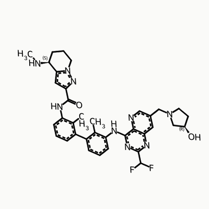 CN[C@H]1CCCn2nc(C(=O)Nc3cccc(-c4cccc(Nc5nc(C(F)F)nc6cc(CN7CC[C@@H](O)C7)cnc56)c4C)c3C)cc21